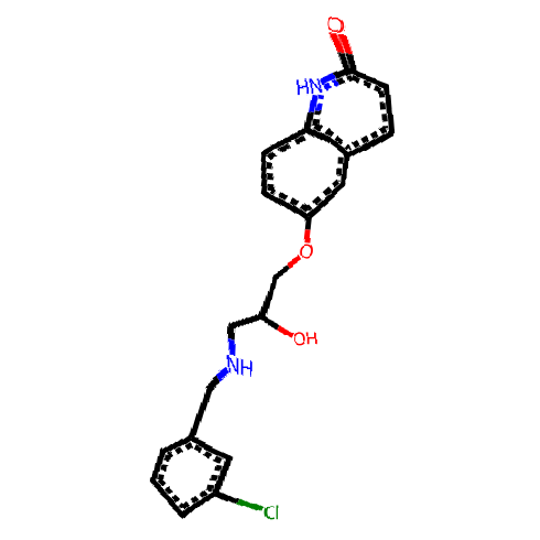 O=c1ccc2cc(OCC(O)CNCc3cccc(Cl)c3)ccc2[nH]1